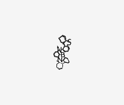 CN1c2cccc3c2B(c2cccc4c2N3C2(C)CCCCC42)c2ccc3sc4ccccc4c3c21